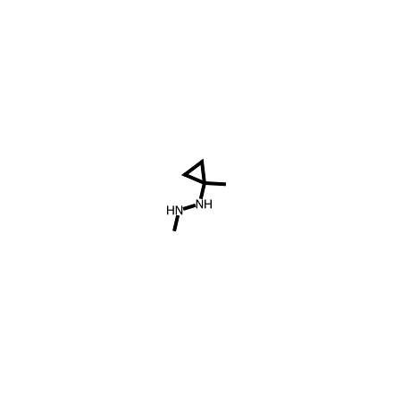 CNNC1(C)CC1